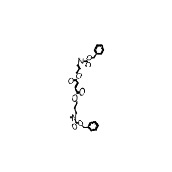 CN(CCCOC(=O)/C=C/C(=O)OCCCN(C)C(=O)OCc1ccccc1)C(=O)OCc1ccccc1